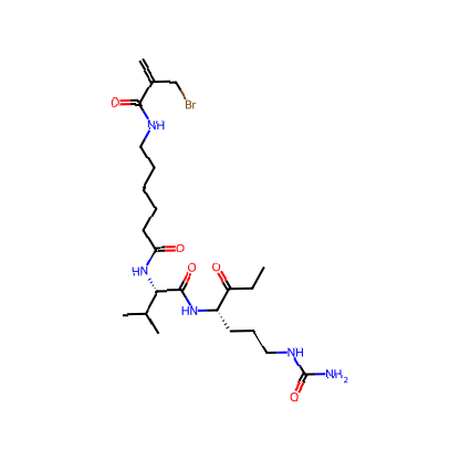 C=C(CBr)C(=O)NCCCCCC(=O)N[C@H](C(=O)N[C@@H](CCCNC(N)=O)C(=O)CC)C(C)C